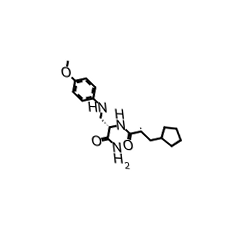 COc1ccc(NC[C@H](NC(=O)[CH]CC2CCCC2)C(N)=O)cc1